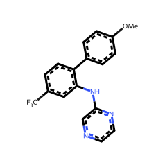 COc1ccc(-c2ccc(C(F)(F)F)cc2Nc2cnccn2)cc1